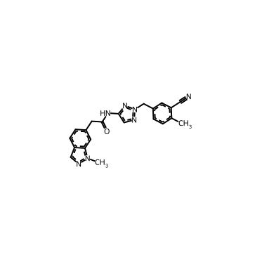 Cc1ccc(Cn2ncc(NC(=O)Cc3ccc4cnn(C)c4c3)n2)cc1C#N